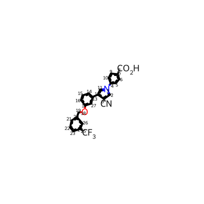 N#Cc1cn(-c2ccc(C(=O)O)cc2)cc1-c1cccc(OCc2cccc(C(F)(F)F)c2)c1